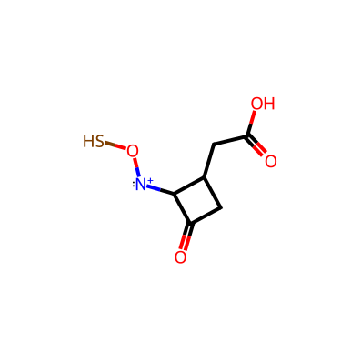 O=C(O)CC1CC(=O)C1[N+]OS